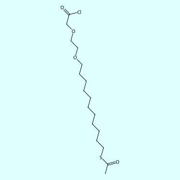 CC(=O)SCCCCCCCCCCCOCCOCC(=O)Cl